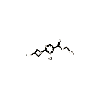 CCOC(=O)c1cnc(N2CC(N)C2)nc1.Cl